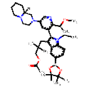 CCn1c(-c2cc(N3CCN4CCCC[C@@H]4C3)cnc2[C@H](C)OC)c(CC(C)(C)COC(C)=O)c2cc(B3OC(C)(C)C(C)(C)O3)ccc21